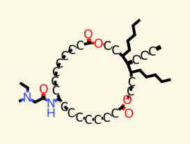 C=C=C=C=C1C(CCCCC)CCOC(=O)CCCCCCCC(NC(=O)CN(C)CC)CCCCCCCC(=O)OCCC1CCCCC